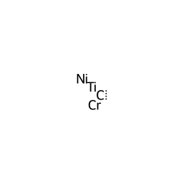 [C].[Cr].[Ni].[Ti]